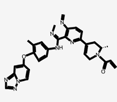 C=CC(=O)N1CC=C(c2ccc(N=C)c(/C(=N\C)Nc3ccc(Oc4ccn5ncnc5c4)c(C)c3)n2)C[C@@H]1C